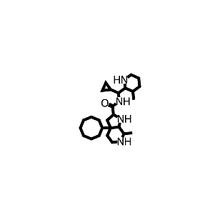 CC1CCCNC1C(NC(=O)C1CC2(C3CCCCCCC3)CCNC(C)C2N1)C1CC1